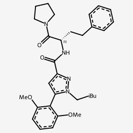 CCC(C)Cn1nc(C(=O)N[C@@H](CCc2ccccc2)C(=O)N2CCCC2)cc1-c1c(OC)cccc1OC